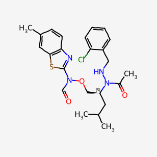 CC(=O)N(NCc1ccccc1Cl)[C@H](CON(C=O)c1nc2ccc(C)cc2s1)CC(C)C